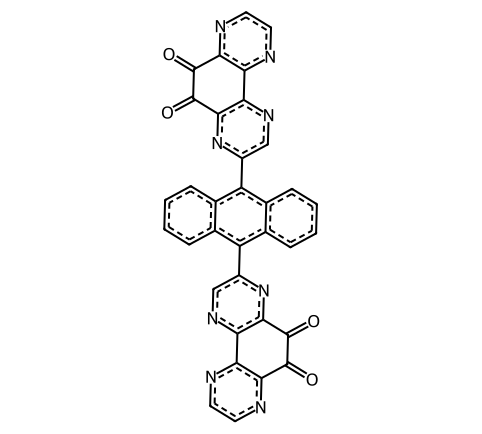 O=C1C(=O)c2nc(-c3c4ccccc4c(-c4cnc5c(n4)C(=O)C(=O)c4nccnc4-5)c4ccccc34)cnc2-c2nccnc21